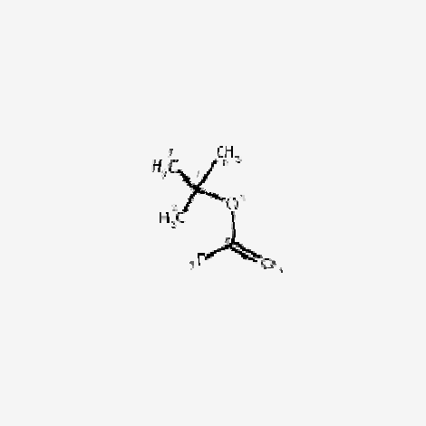 CC(C)(C)OC(=O)F